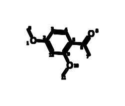 COc1ccc(C(C)=O)c(OC)c1